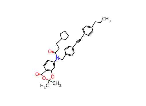 CCCc1ccc(C#Cc2ccc(CN(C(=O)CCC3CCCC3)c3ccc4c(c3)OC(C)(C)OC4=O)cc2)cc1